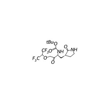 CC(C)(C)OC(=O)N[C@@H](C[C@@H]1CCNC1=O)C(=O)COC(C(F)(F)F)C(F)(F)F